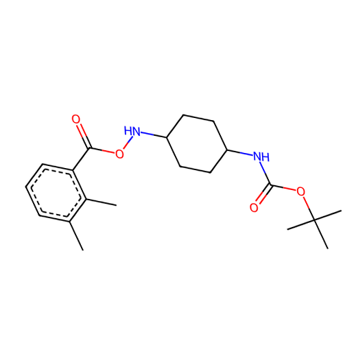 Cc1cccc(C(=O)ONC2CCC(NC(=O)OC(C)(C)C)CC2)c1C